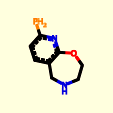 Pc1ccc2c(n1)OCCNC2